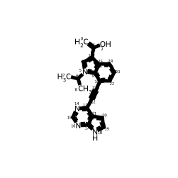 C=C(O)c1cn(C(C)C)c2c(C#Cc3ncnc4[nH]ccc34)cccc12